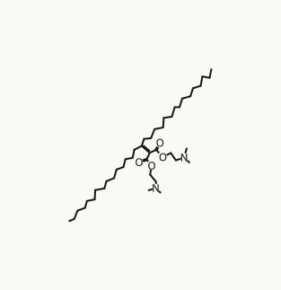 CCCCCCCCCCCCCCCC(CCCCCCCCCCCCCCC)=C(C(=O)OCCN(C)C)C(=O)OCCN(C)C